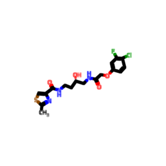 Cc1nc(C(=O)NCC[C@H](O)CNC(=O)COc2ccc(Cl)c(F)c2)cs1